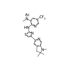 CC(=O)N(C)c1cc(C(F)(F)F)cnc1Nc1nc(-c2cc3c(cn2)N(C)C(C)(C)C3)cs1